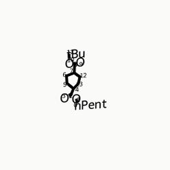 CCCCCOC(=O)C1CCC(C(=O)OC(C)(C)C)CC1